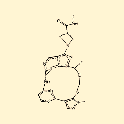 CNC(=O)C1CN(c2nn3c4cc(ncc24)Nc2ccnc(n2)-c2cnn(C)c2OCCC3C)C1